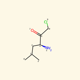 CC(C)C[C@H](N)C(=O)[CH]Cl